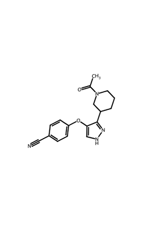 CC(=O)N1CCCC(c2n[nH]cc2Oc2ccc(C#N)cc2)C1